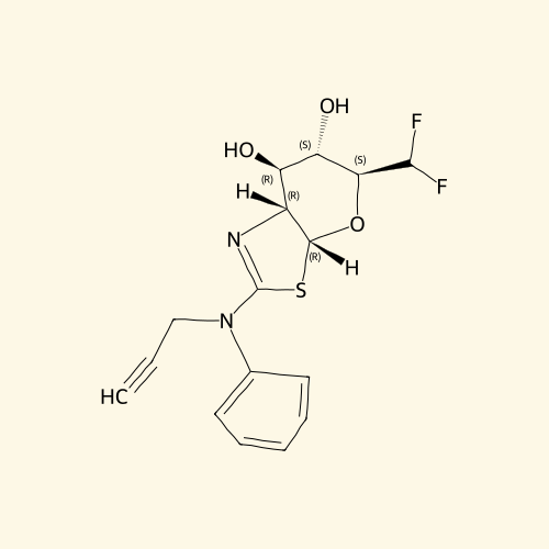 C#CCN(C1=N[C@@H]2[C@@H](O)[C@H](O)[C@@H](C(F)F)O[C@@H]2S1)c1ccccc1